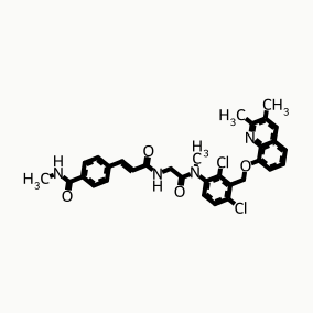 CNC(=O)c1ccc(C=CC(=O)NCC(=O)N(C)c2ccc(Cl)c(COc3cccc4cc(C)c(C)nc34)c2Cl)cc1